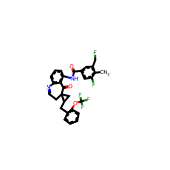 Cc1c(F)cc(C(=O)Nc2cccc3c2C(=O)C2(CC=N3)CC2Cc2ccccc2OC(F)(F)F)cc1CF